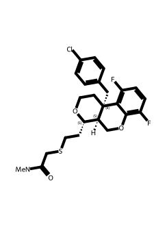 CNC(=O)CSCC[C@@H]1OCC[C@@]2(Cc3ccc(Cl)cc3)c3c(F)ccc(F)c3OC[C@@H]12